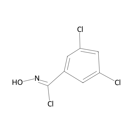 O/N=C(\Cl)c1cc(Cl)cc(Cl)c1